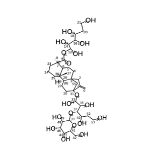 C=C1CC23CCC4[C@](C)(C(=O)OC(O)C(O)C(O)C(O)CCO)CCC[C@@]4(C)[C@@H]2CCC1(OC(O)C(O)C(OC1OC(CO)[C@H](O)C(O)C1O)C(O)CCO)C3